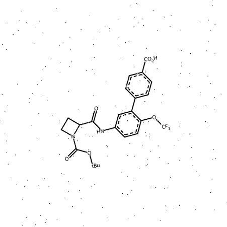 CC(C)(C)OC(=O)N1CCC1C(=O)Nc1ccc(OC(F)(F)F)c(-c2ccc(C(=O)O)cc2)c1